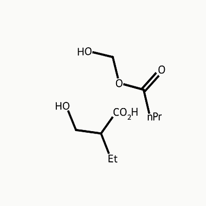 CCC(CO)C(=O)O.CCCC(=O)OCO